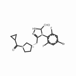 O=CC1NN=C(C[C@@H]2CCN(C(=O)C3CC3)C2)N1c1c(F)cc(Br)cc1F